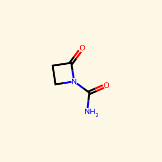 NC(=O)N1CCC1=O